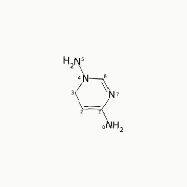 NC1=CCN(N)C=N1